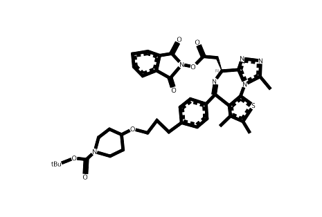 Cc1sc2c(c1C)C(c1ccc(CCCOC3CCN(C(=O)OC(C)(C)C)CC3)cc1)=N[C@@H](CC(=O)ON1C(=O)c3ccccc3C1=O)c1nnc(C)n1-2